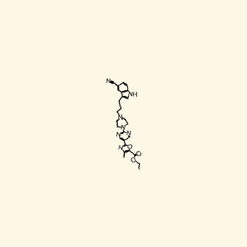 CCOC(=O)c1oc(-c2cnc(N3CCN(CCCc4c[nH]c5ccc(C#N)cc45)CC3)nc2)nc1C